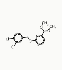 COC(OC)c1ccnc(SCc2ccc(Cl)c(Cl)c2)n1